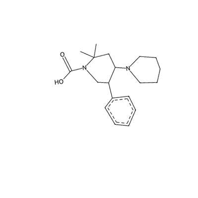 CC1(C)CC(N2CCCCC2)C(c2ccccc2)CN1C(=O)O